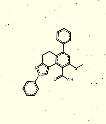 CSc1cc(-c2ccccc2)c2c(c1C(=O)O)-c1cn(-c3ccccc3)nc1CC2